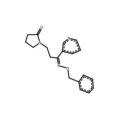 O=C1CCCN1CC/C(=N/OCc1ccccc1)c1cccnc1